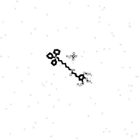 COc1cc(/C=C/C(=O)NCCCCCCCC[P+](c2ccccc2)(c2ccccc2)c2ccccc2)cc(OC)c1OC.CS(=O)(=O)[O-]